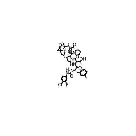 Cc1cccc(C[C@H](NC(=O)Nc2ccc(Cl)c(F)c2)C(=O)N[C@H](C(=O)N2CCC[C@H]2C(=O)N2CCCC[C@H]2C(=O)N[C@@H](C)C(=O)N2C[C@H](C)CC23CC3=O)[C@H](C)O)c1